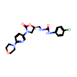 O=C(NC[C@H]1CN(c2ccc(N3CCOCC3)nc2)C(=O)O1)Nc1ccc(Cl)cc1